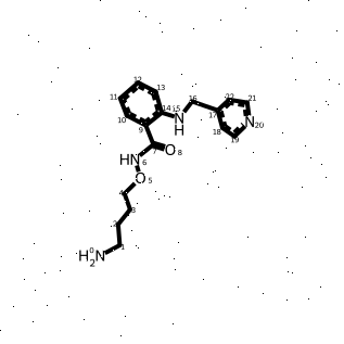 NCCCCONC(=O)c1ccccc1NCc1ccncc1